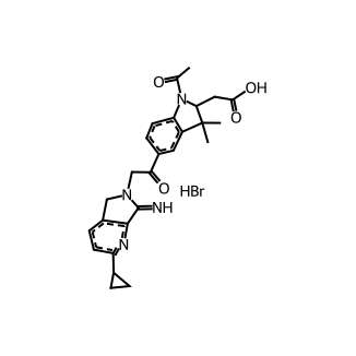 Br.CC(=O)N1c2ccc(C(=O)CN3Cc4ccc(C5CC5)nc4C3=N)cc2C(C)(C)C1CC(=O)O